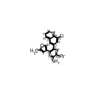 Cc1cc(-c2nc(N)c(C(C)C)nc2-c2cc(Cl)c3ncccc3c2)co1